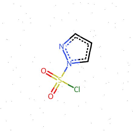 O=S(=O)(Cl)n1cccn1